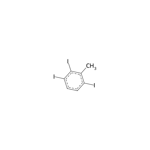 Cc1c(I)ccc(I)c1I